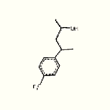 CC(O)CC(C)c1ccc(C(F)(F)F)cc1